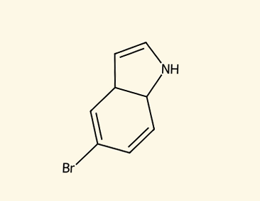 BrC1=CC2C=CNC2C=C1